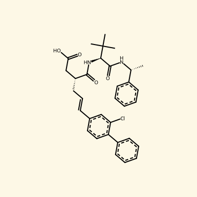 C[C@@H](NC(=O)[C@@H](NC(=O)[C@H](CC=Cc1ccc(-c2ccccc2)c(Cl)c1)CC(=O)O)C(C)(C)C)c1ccccc1